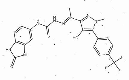 C/C(=N\NC(=S)Nc1ccc2[nH]c(=O)[nH]c2c1)c1nn(C)c(-c2ccc(C(F)(F)F)cc2)c1O